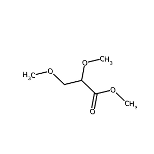 COCC(OC)C(=O)OC